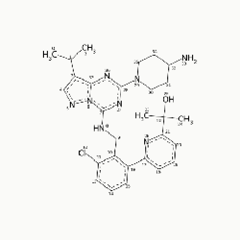 CC(C)c1cnn2c(NCc3c(Cl)cccc3-c3cccc(C(C)(C)O)n3)nc(N3CCC(N)CC3)nc12